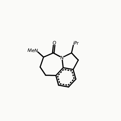 CNC1CCc2cccc3c2N(C1=O)C(C(C)C)C3